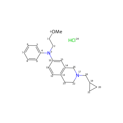 COCCN(c1ccccc1)c1ccc2c(c1)CN(CC1CC1)CC2.Cl